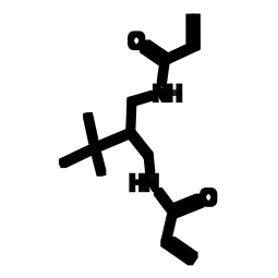 C=CC(=O)NCC(CNC(=O)C=C)C(C)(C)C